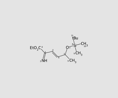 CCOC(=O)C(=N)/C=C/C(C)O[Si](C)(C)C(C)(C)C